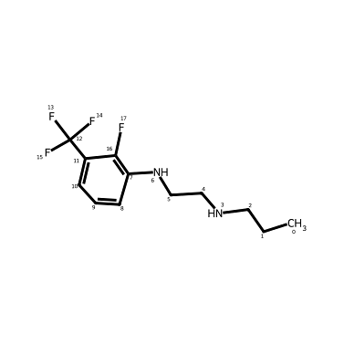 CCCNCCNc1cccc(C(F)(F)F)c1F